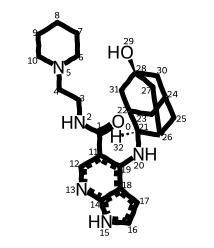 O=C(NCCN1CCCCC1)c1cnc2[nH]ccc2c1N[C@H]1C2CC3CC1C[C@@](O)(C3)C2